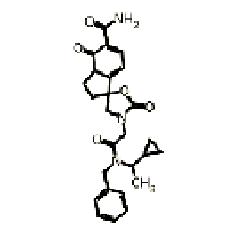 CC(C1CC1)N(Cc1ccccc1)C(=O)CN1CC2(CCC3C(=O)C(C(N)=O)=CC=C32)OC1=O